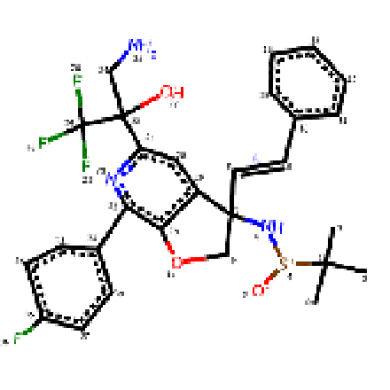 CC(C)(C)[S+]([O-])NC1(/C=C/c2ccccc2)COc2c1cc(C(O)(CN)C(F)(F)F)nc2-c1ccc(F)cc1